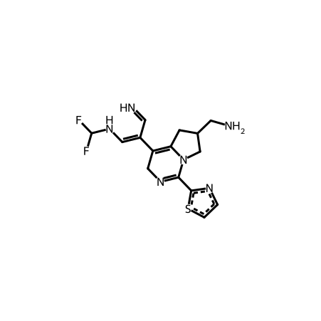 N=C/C(=C\NC(F)F)C1=C2CC(CN)CN2C(c2nccs2)=NC1